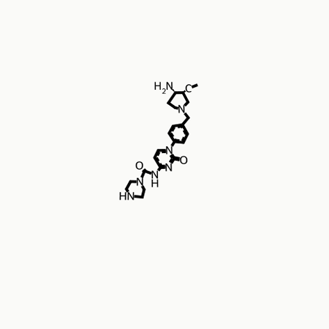 CC[C@H]1CN(Cc2ccc(-n3ccc(NC(=O)N4CCNCC4)nc3=O)cc2)CC[C@@H]1N